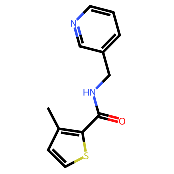 Cc1ccsc1C(=O)NCc1cccnc1